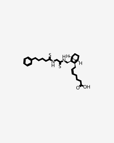 O=C(O)CCC/C=C\C[C@H]1[C@@H](CNC(=S)CNC(=S)CCCCc2ccccc2)[C@H]2CC[C@@H]1O2